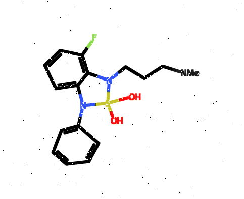 CNCCCN1c2c(F)cccc2N(c2ccccc2)S1(O)O